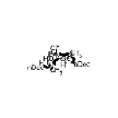 CCCCCCCCCCCC[N+](C)(C)CC(O)CN(CC(O)C[N+](C)(C)CCCCCCCCCCCC)C(C)C.[Cl-].[Cl-]